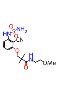 COCCNC(=O)C(C)(C)COc1cccc(NS(N)(=O)=O)c1C#N